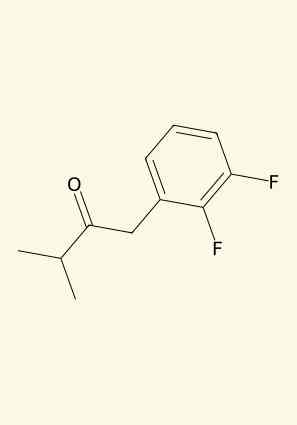 CC(C)C(=O)Cc1cccc(F)c1F